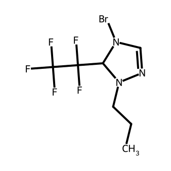 CCCN1N=CN(Br)C1C(F)(F)C(F)(F)F